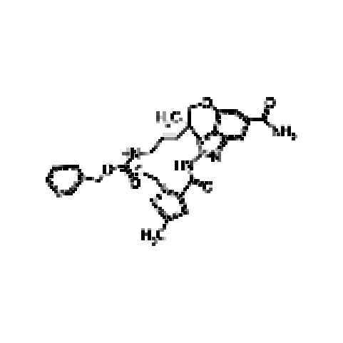 CCn1nc(C)cc1C(=O)Nc1nc2cc(C(N)=O)cc3c2n1[C@@](C)(/C=C/CNC(=O)OCc1ccccc1)CO3